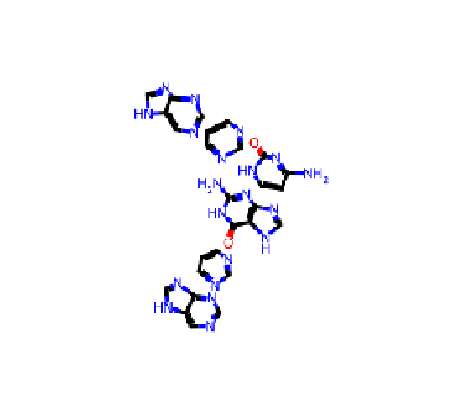 Nc1cc[nH]c(=O)n1.Nc1nc2nc[nH]c2c(=O)[nH]1.c1cncnc1.c1cncnc1.c1ncc2[nH]cnc2n1.c1ncc2[nH]cnc2n1